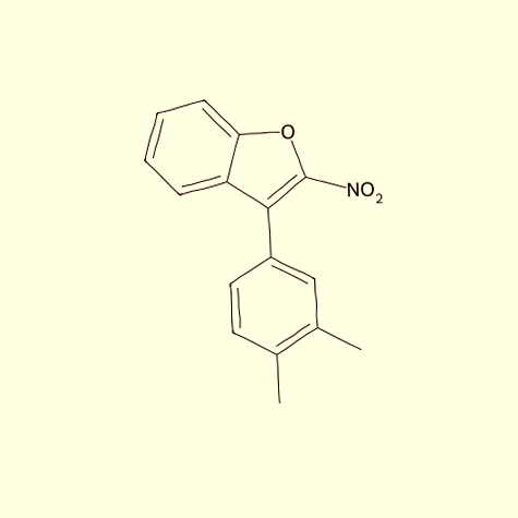 Cc1ccc(-c2c([N+](=O)[O-])oc3ccccc23)cc1C